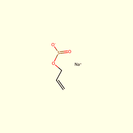 C=CCOS(=O)[O-].[Na+]